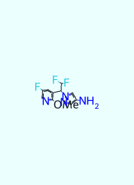 COc1ncc(F)cc1C(C(F)F)n1cc(N)cn1